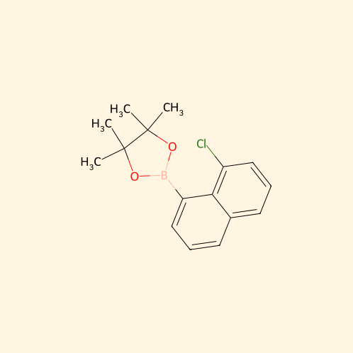 CC1(C)OB(c2cccc3cccc(Cl)c23)OC1(C)C